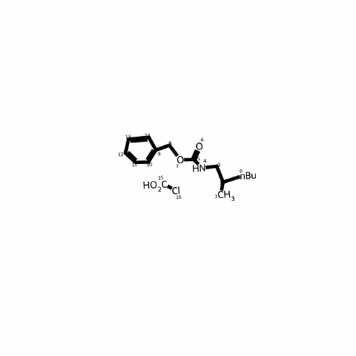 CCCCC(C)CNC(=O)OCc1ccccc1.O=C(O)Cl